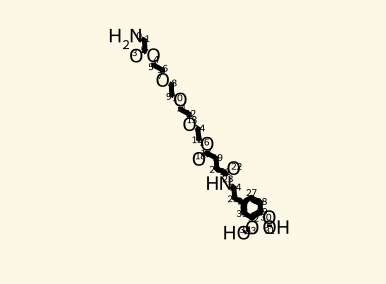 NCC(=O)OCCOCCOCCOCCOC(=O)CCC(=O)NCCc1ccc(OO)c(OO)c1